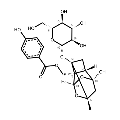 C[C@@]12C[C@@]3(O)O[C@@H](O1)[C@]1(COC(=O)c4ccc(O)cc4)[C@@H]3C[C@]12O[C@@H]1O[C@H](CO)[C@@H](O)[C@H](O)[C@H]1O